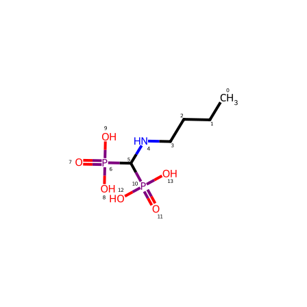 CCCCNC(P(=O)(O)O)P(=O)(O)O